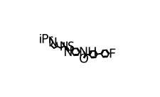 CC(C)N1CCC(CN(C)c2nc3ccc(NC(=O)c4ccc(-c5ccc(F)cc5)cc4)cc3s2)C1